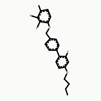 CCCCOc1ccc(-c2ccc(COc3ccc(C)c(F)c3F)cc2)c(F)c1